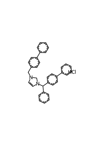 C1=CN(C(c2ccccc2)c2ccc(-c3ccccc3)cc2)CN1Cc1ccc(-c2ccccc2)cc1.Cl